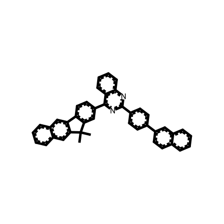 CC1(C)c2cc(-c3nc(-c4ccc(-c5ccc6ccccc6c5)cc4)nc4ccccc34)ccc2-c2cc3ccccc3cc21